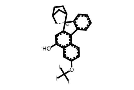 Oc1cc2c(c3ccc(OC(I)(I)I)cc13)-c1ccccc1[C@@]21CC2CCC1C2